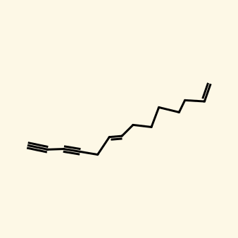 C#CC#CCC=CCCCCCC=C